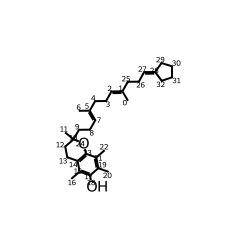 C/C(=C\CC/C(C)=C/CCC1(C)CCc2c(C)c(O)c(C)c(C)c2O1)CCC=C1CCCC1